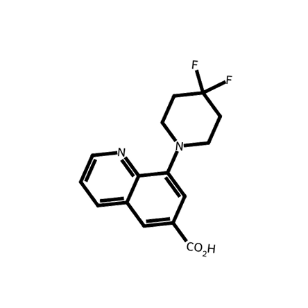 O=C(O)c1cc(N2CCC(F)(F)CC2)c2ncccc2c1